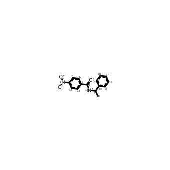 CC(NC(=O)c1ccc([N+](=O)[O-])cc1)c1ccccc1